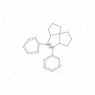 c1ccc(NC2CCCC23CCCC3Nc2ccccc2)cc1